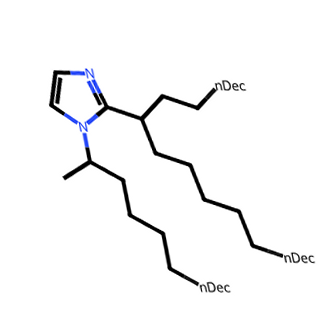 CCCCCCCCCCCCCCCC(CCCCCCCCCCCC)c1nccn1C(C)CCCCCCCCCCCCCC